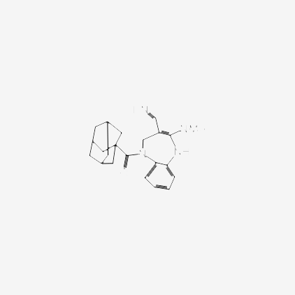 CNC1=C(C=N)CN(C(=O)C23CC4CC(CC(C4)C2)C3)c2ccccc2N1